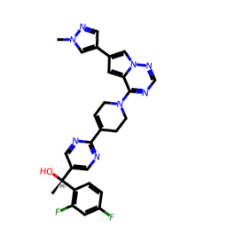 Cn1cc(-c2cc3c(N4CC=C(c5ncc([C@@](C)(O)c6ccc(F)cc6F)cn5)CC4)ncnn3c2)cn1